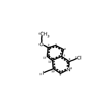 COc1ccc2c(Cl)ncc(I)c2c1